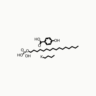 CCCCCCCCCCCCCCCCOP(=O)(O)O.CCC[CH2][K].O=C(O)c1ccc(O)cc1